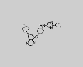 FC(F)(F)c1ncc(N[C@H]2CC[C@@H](Oc3cc(N4CCOCC4)cc4nccnc34)CC2)cn1